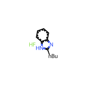 CCCCc1nc2ccccc2[nH]1.F